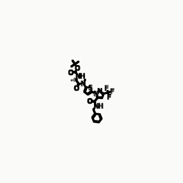 C[C@H](NC(=O)OC(C)(C)C)C(=O)N(C)c1ccc(-n2nc(C(F)(F)F)cc2C(=O)NCc2ccccc2)s1